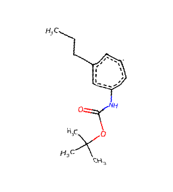 CCCc1c[c]cc(NC(=O)OC(C)(C)C)c1